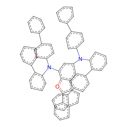 c1ccc(-c2ccc(-c3ccccc3N(c3ccc(-c4ccccc4)cc3)c3cc(N(c4ccc(-c5ccccc5)cc4)c4ccccc4-c4ccccc4)c4oc5c6ccccc6ccc5c4c3)cc2)cc1